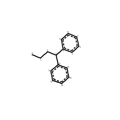 CCCC(c1[c]cccc1)c1ccccc1